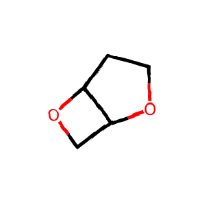 C1CC2OCC2O1